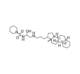 C[C@]12CCCC[C@H]1CC[C@@H]1[C@@H]2CC[C@]2(C)C(CCCNCC(O)NS(=O)(=O)N3CCCCC3)CC[C@@H]12